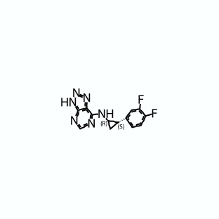 Fc1ccc([C@@H]2C[C@H]2Nc2ncnc3[nH]nnc23)cc1F